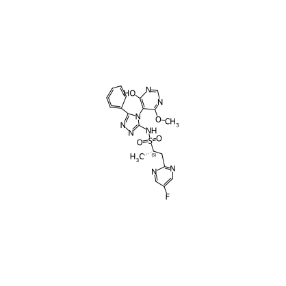 COc1ncnc(O)c1-n1c(NS(=O)(=O)[C@@H](C)Cc2ncc(F)cn2)nnc1C1=C=C=CC=C1